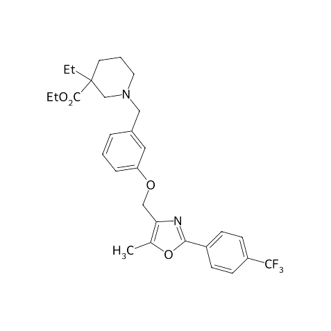 CCOC(=O)C1(CC)CCCN(Cc2cccc(OCc3nc(-c4ccc(C(F)(F)F)cc4)oc3C)c2)C1